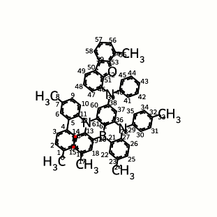 Cc1ccc(-c2cc(C)ccc2N2c3ccc(C)cc3B3c4cc(C)ccc4N(c4ccc(C)cc4)c4cc(N(c5ccccc5)c5cccc6c5oc5c(C)cccc56)cc2c43)cc1